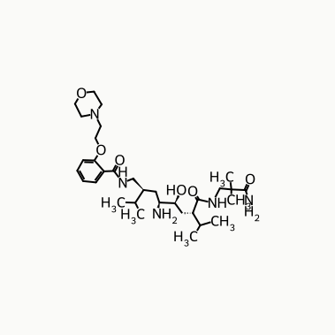 CC(C)[C@@H](CNC(=O)c1ccccc1OCCN1CCOCC1)C[C@H](N)[C@@H](O)C[C@H](C(=O)NCC(C)(C)C(N)=O)C(C)C